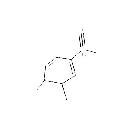 CC1C=CC([SH](C)#[O+])=CC1C